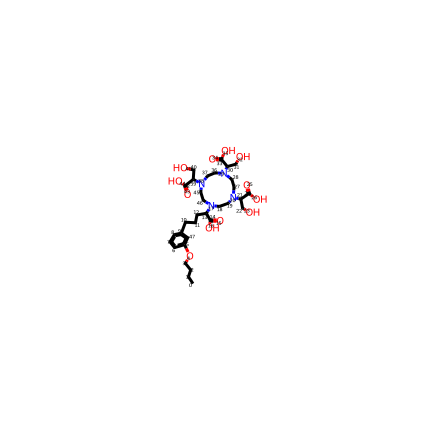 CCCCOc1cccc(CCCC(C(=O)O)N2CCN(C(CO)C(=O)O)CCN(C(CO)C(=O)O)CCN(C(CO)C(=O)O)CC2)c1